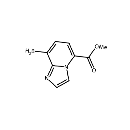 Bc1ccc(C(=O)OC)n2ccnc12